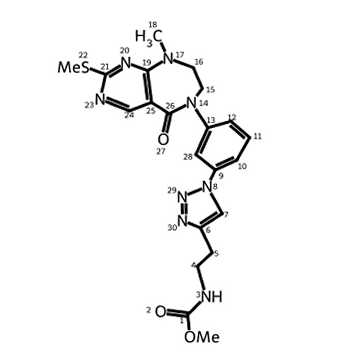 COC(=O)NCCc1cn(-c2cccc(N3CCN(C)c4nc(SC)ncc4C3=O)c2)nn1